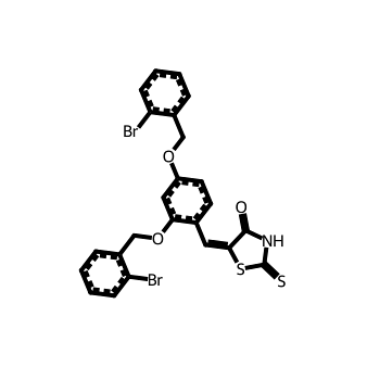 O=C1NC(=S)SC1=Cc1ccc(OCc2ccccc2Br)cc1OCc1ccccc1Br